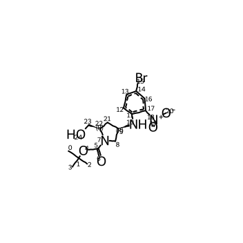 CC(C)(C)OC(=O)N1C[C@H](Nc2ccc(Br)cc2[N+](=O)[O-])C[C@@H]1CO